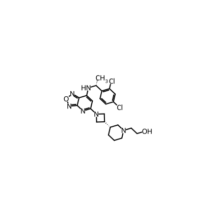 C[C@@H](Nc1cc(N2CC([C@H]3CCCN(CCO)C3)C2)nc2nonc12)c1ccc(Cl)cc1Cl